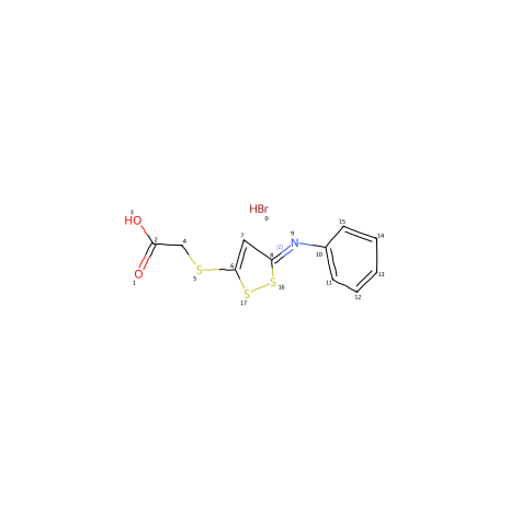 Br.O=C(O)CSc1c/c(=N/c2ccccc2)ss1